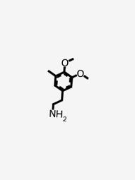 COc1cc(CCN)cc(C)c1OC